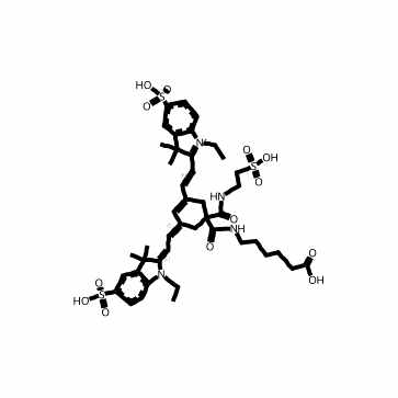 CCN1/C(=C/C=C2C=C(/C=C/C3=[N+](CC)c4ccc(S(=O)(=O)O)cc4C3(C)C)CC(C(=O)NCCCCCC(=O)O)(C(=O)NCCS(=O)(=O)O)C/2)C(C)(C)c2cc(S(=O)(=O)O)ccc21